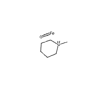 C[SiH]1CCCCC1.[O]=[Fe]